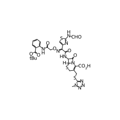 Cn1nnnc1SCC1=C(C(=O)O)N2C(=O)C(NC(=O)C(=NOCC(=O)Nc3ccccc3C(=O)OC(C)(C)C)c3csc(NC=O)n3)[C@@H]2SC1